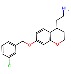 NCCC1CCOc2cc(OCc3cccc(Cl)c3)ccc21